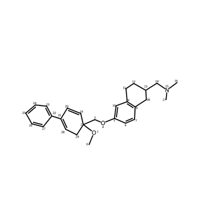 COC1(COc2ccc3c(c2)CCC(CN(C)C)C3)C=CC(c2ccccc2)=CC1